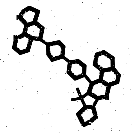 CC1(C)c2ccccc2-c2nc3ccc4ccccc4c3c(-c3ccc(-c4ccc(-c5cc6cccnc6c6ncccc56)cc4)cc3)c21